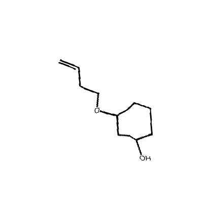 C=CCCOC1CCCC(O)C1